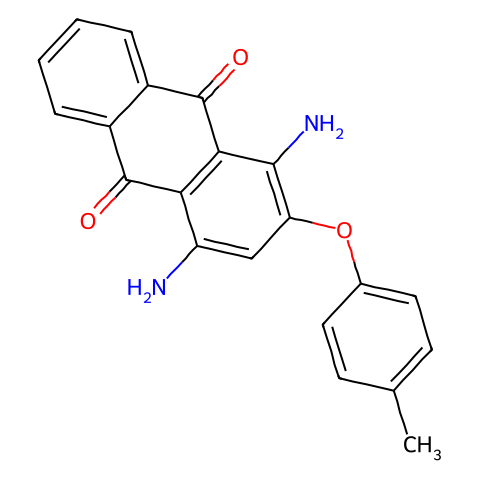 Cc1ccc(Oc2cc(N)c3c(c2N)C(=O)c2ccccc2C3=O)cc1